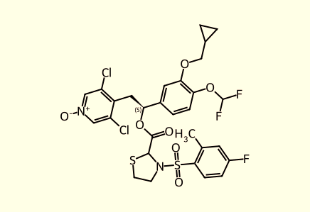 Cc1cc(F)ccc1S(=O)(=O)N1CCSC1C(=O)O[C@@H](Cc1c(Cl)c[n+]([O-])cc1Cl)c1ccc(OC(F)F)c(OCC2CC2)c1